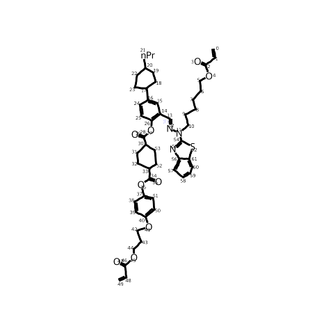 C=CC(=O)OCCCCCCN(/N=C/c1cc(C2CCC(CCC)CC2)ccc1OC(=O)C1CCC(C(=O)Oc2ccc(OCCCOC(=O)C=C)cc2)CC1)c1nc2ccccc2s1